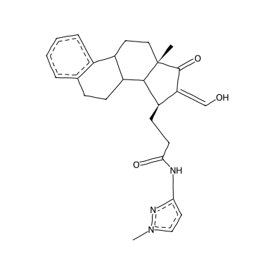 Cn1ccc(NC(=O)CC[C@@H]2/C(=C/O)C(=O)[C@@]3(C)CCC4c5ccccc5CCC4C23)n1